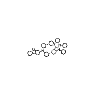 c1ccc(-c2cccc(N(c3cccc(-c4ccc5c(c4)c4c(n5-c5ccccc5)N(c5ccccc5)c5ccccc5S4)c3)c3ccc4c(c3)oc3ccccc34)c2)cc1